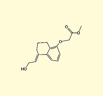 COC(=O)COc1cccc2c1CCCC2=CCO